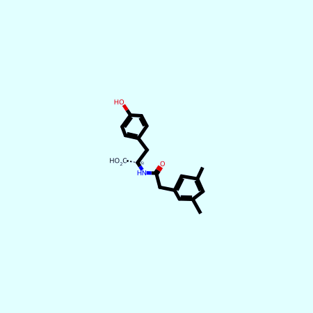 Cc1cc(C)cc(CC(=O)N[C@@H](Cc2ccc(O)cc2)C(=O)O)c1